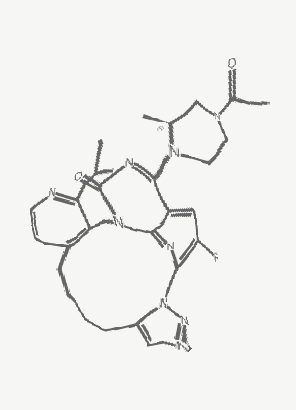 CC(=O)N1CCN(c2nc(=O)n3c4nc(c(F)cc24)-n2nncc2CCCCc2ccnc(C(C)C)c2-3)[C@@H](C)C1